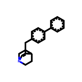 C1=C(Cc2ccc(-c3ccccc3)cc2)C2CCN1CC2